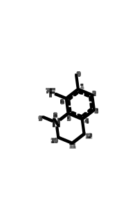 Cc1ccc2c(c1F)N(C)CCC2